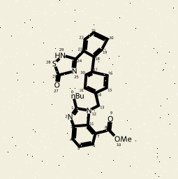 CCCCc1nc2cccc(C(=O)OC)c2n1Cc1ccc(-c2ccccc2-c2nc(=O)s[nH]2)cc1